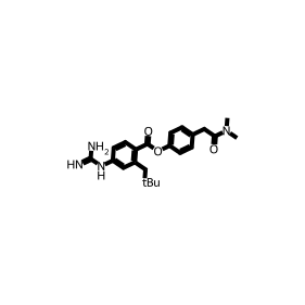 CN(C)C(=O)Cc1ccc(OC(=O)c2ccc(NC(=N)N)cc2CC(C)(C)C)cc1